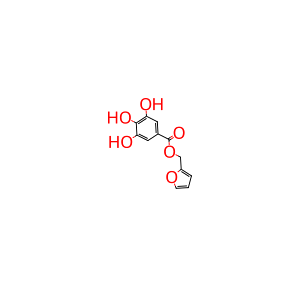 O=C(OCc1ccco1)c1cc(O)c(O)c(O)c1